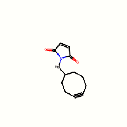 O=C1C=CC(=O)N1BC1CCC#CCCC1